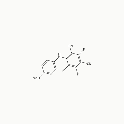 COc1ccc(Nc2c(F)c(F)c(C#N)c(F)c2C#N)cc1